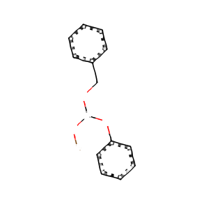 BrOB(OCc1ccccc1)Oc1ccccc1